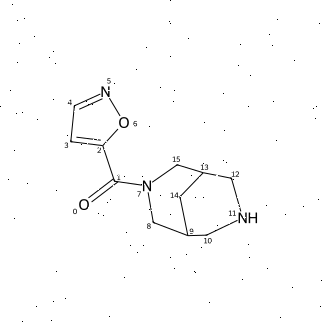 O=C(c1ccno1)N1CC2CNCC(C2)C1